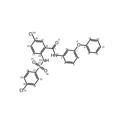 O=C(Nc1cccc(Oc2ccccc2)c1)c1cc(Cl)ccc1NS(=O)(=O)c1ccc(Cl)cc1